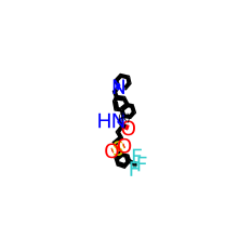 O=C(CCCS(=O)(=O)c1cccc(C(F)(F)F)c1)N[C@@H]1CCCc2cc(CN3CCCCC3)ccc21